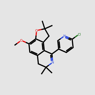 COc1cc2c(c3c1OC(C)(C)C3)C(c1ccc(Cl)nc1)=NC(C)(C)C2